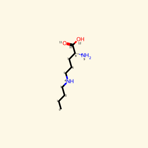 CCCCNCCC[C@@H](N)C(=O)O